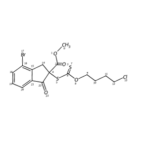 COC(=O)C1(SC(=S)OCCCCCl)Cc2c(Br)cccc2C1=O